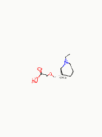 CCN1CCC[C@H](COCC(=O)O)C1